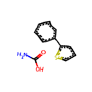 NC(=O)O.c1ccc(-c2cccs2)cc1